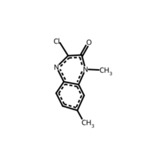 Cc1ccc2nc(Cl)c(=O)n(C)c2c1